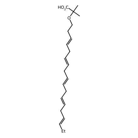 CCC=CCC=CCC=CCC=CCC=CCCOC(C)(C)C(=O)O